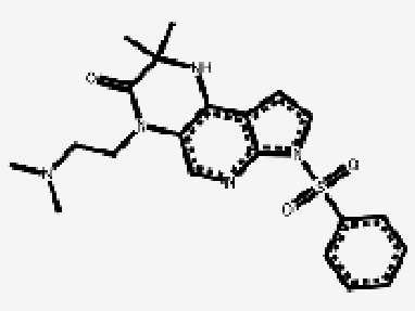 CN(C)CCN1C(=O)C(C)(C)Nc2c1cnc1c2ccn1S(=O)(=O)c1ccccc1